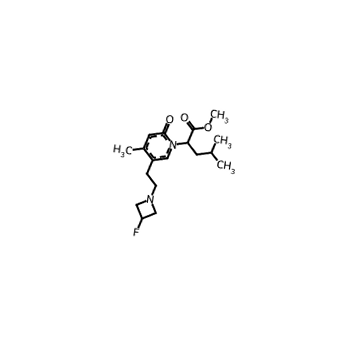 COC(=O)C(CC(C)C)n1cc(CCN2CC(F)C2)c(C)cc1=O